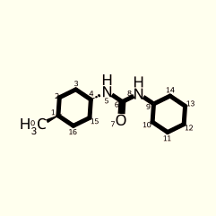 C[C@H]1CC[C@H](NC(=O)NC2CCCCC2)CC1